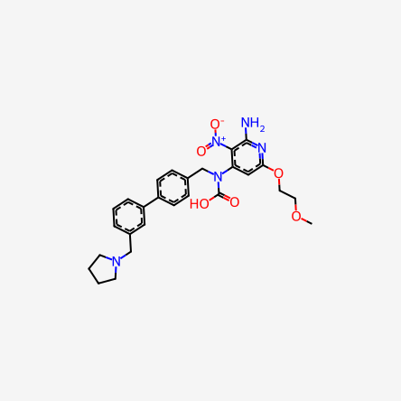 COCCOc1cc(N(Cc2ccc(-c3cccc(CN4CCCC4)c3)cc2)C(=O)O)c([N+](=O)[O-])c(N)n1